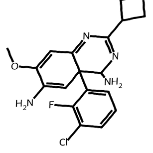 COC1=CC2=NC(C3CNC3)=NC(N)C2(c2cccc(Cl)c2F)C=C1N